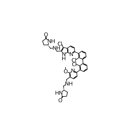 COc1nc(-c2cccc(-c3cccc(-c4ccc5c(Cl)c(CNC[C@H]6CCC(=O)N6)[nH]c5n4)c3Cl)c2Cl)ccc1CNC[C@H]1CCC(=O)N1